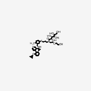 Cc1ccc(SCCCN(CCOCCO)C(=O)[C@@H](O)[C@@H](O)[C@H](O)[C@@H](O)CO)cc1CNC1(c2cnccc2-c2ccccc2OC2CC2)CC1